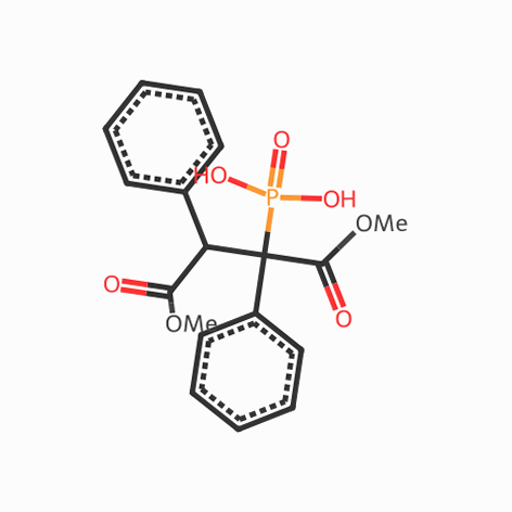 COC(=O)C(c1ccccc1)C(C(=O)OC)(c1ccccc1)P(=O)(O)O